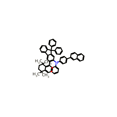 CC1(C)CCC(C)(C)c2c(-c3cc4c(cc3N(c3ccccc3)c3ccc(-c5ccc6ccccc6c5)cc3)C(c3ccccc3)(c3ccccc3)c3ccccc3-4)cccc21